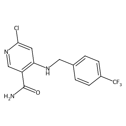 NC(=O)c1cnc(Cl)cc1NCc1ccc(C(F)(F)F)cc1